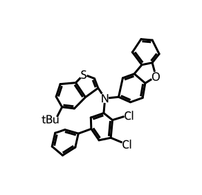 CC(C)(C)c1ccc2scc(N(c3ccc4oc5ccccc5c4c3)c3cc(-c4ccccc4)cc(Cl)c3Cl)c2c1